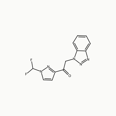 O=C(Cn1nnc2ccccc21)c1ccn(C(F)F)n1